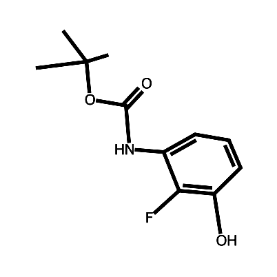 CC(C)(C)OC(=O)Nc1cccc(O)c1F